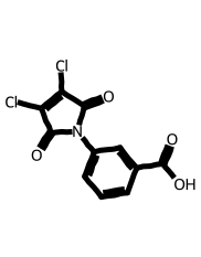 O=C(O)c1cccc(N2C(=O)C(Cl)=C(Cl)C2=O)c1